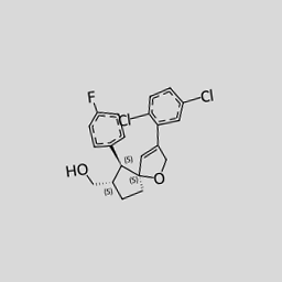 OC[C@H]1CC[C@@]2(C=C(c3cc(Cl)ccc3Cl)CO2)[C@@H]1c1ccc(F)cc1